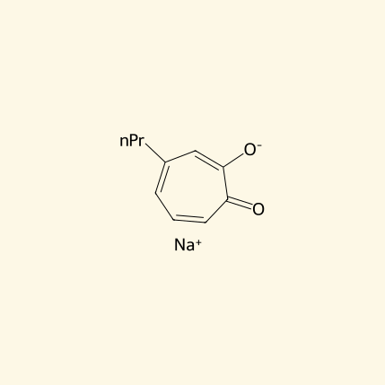 CCCc1cccc(=O)c([O-])c1.[Na+]